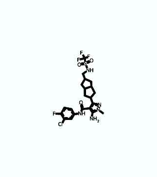 Cn1nc(C2CC3CC(CNS(=O)(=O)C(F)(F)F)CC3C2)c(C(=O)Nc2ccc(F)c(Cl)c2)c1N